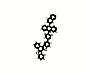 c1ccc2cc(-c3c4ccccc4c(-c4ccc(-c5ccc6oc7c(c6c5)c5ccccc5c5oc6ccccc6c57)cc4)c4ccccc34)ccc2c1